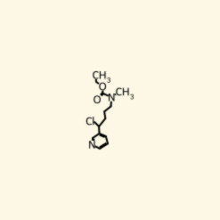 CCOC(=O)N(C)CCCC(Cl)c1cccnc1